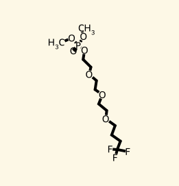 COP(=O)(OC)OCCOCCOCCOCCCC(F)(F)F